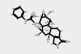 CC(C)[C@]12O[C@H]1[C@@H]1O[C@]13[C@]1(O[C@H]1C[C@H]1C4=C(CC[C@@]13C)C(=O)OC4)[C@@H]2OC(=O)Oc1ccccc1